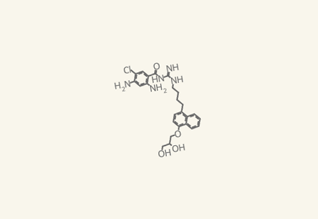 N=C(NCCCCc1ccc(OCC(O)CO)c2ccccc12)NC(=O)c1cc(Cl)c(N)cc1N